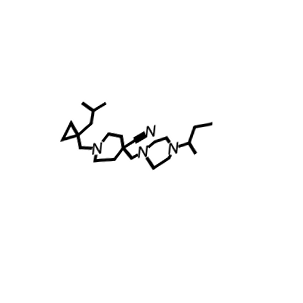 CCC(C)N1CCN(CC2(C#N)CCN(CC3(CC(C)C)CC3)CC2)CC1